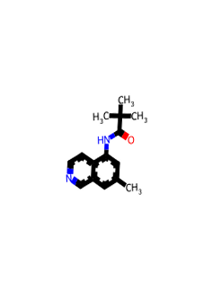 Cc1cc(NC(=O)C(C)(C)C)c2ccncc2c1